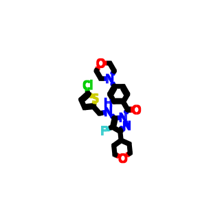 O=C(c1ccc(N2CCOCC2)cc1)n1nc(C2CCOCC2)c(F)c1NCc1ccc(Cl)s1